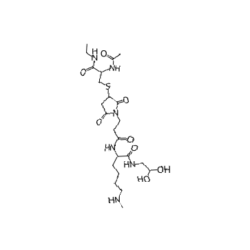 CCNC(=O)C(CSC1CC(=O)N(CCC(=O)NC(CCCCNC)C(=O)NCC(O)O)C1=O)NC(C)=O